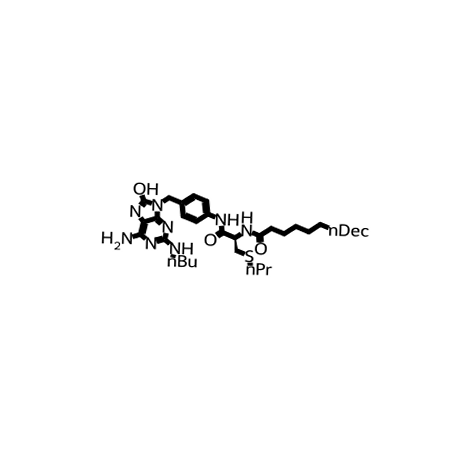 [CH2][CH]CSC[C@H](NC(=O)CCCCCCCCCCCCCCC)C(=O)Nc1ccc(Cn2c(O)nc3c(N)nc(NCCCC)nc32)cc1